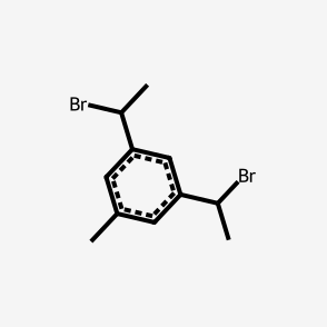 Cc1cc(C(C)Br)cc(C(C)Br)c1